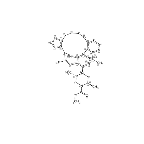 C=CC(=O)N1C[C@H](C)N(c2nc(=O)n3c4nc(c(F)cc24)-c2cnnn2CCCOc2ccnc(C(C)C)c2-3)C[C@H]1C